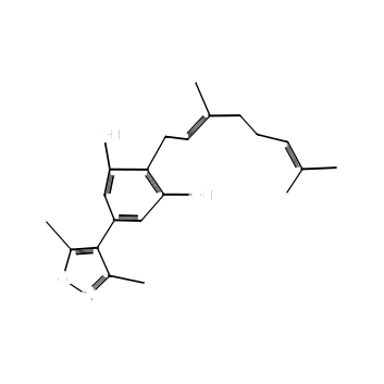 CC(C)=CCC/C(C)=C/Cc1c(O)cc(-c2c(C)noc2C)cc1O